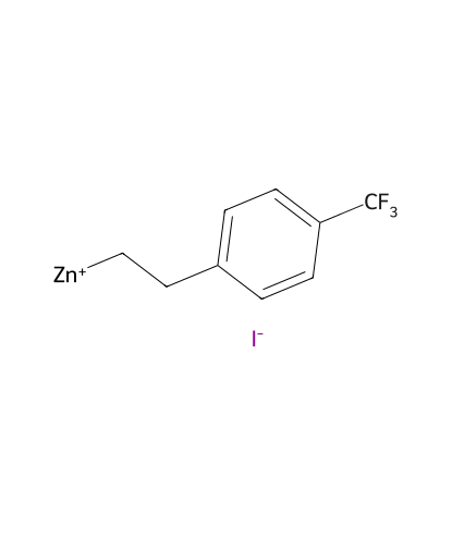 FC(F)(F)c1ccc(C[CH2][Zn+])cc1.[I-]